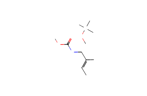 C/C=C(\CC)[C@@H](CO[Si](C)(C)C(C)(C)C)NC(=O)OC(C)(C)C